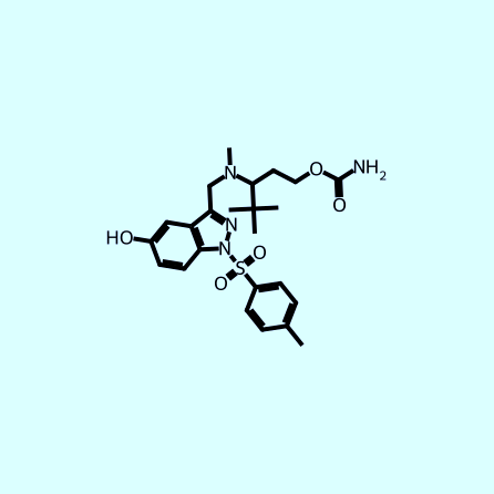 Cc1ccc(S(=O)(=O)n2nc(CN(C)C(CCOC(N)=O)C(C)(C)C)c3cc(O)ccc32)cc1